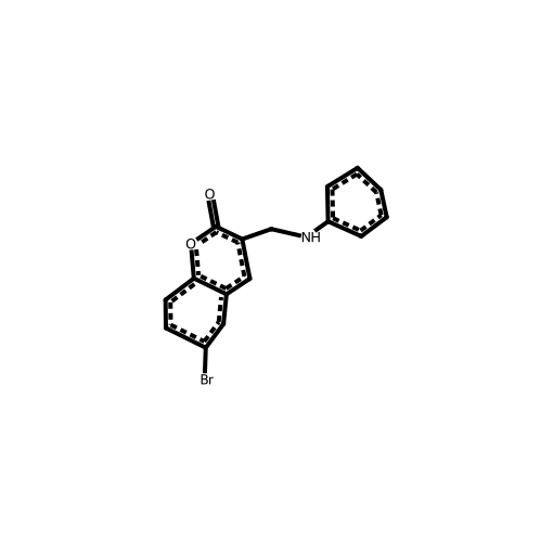 O=c1oc2ccc(Br)cc2cc1CNc1ccccc1